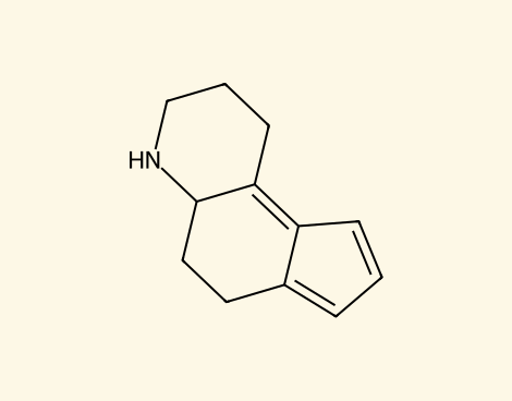 C1=CC2=C3CCCNC3CCC2=C1